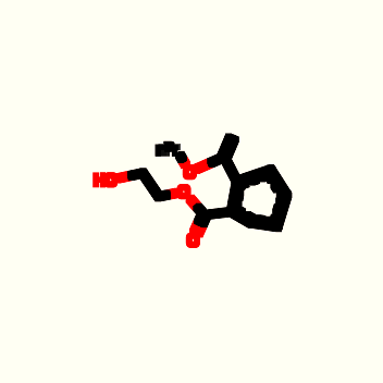 C=C(OCCC)c1ccccc1C(=O)OCCO